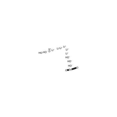 [Li+].[Li+].[Li+].[Li+].[Li+].[Li+].[OH-].[OH-].[OH-].[OH-].[OH-].[OH-].[O]=[Sn]=[O]